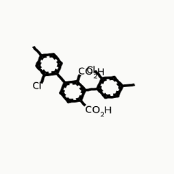 Cc1ccc(-c2ccc(C(=O)O)c(-c3ccc(C)cc3Cl)c2C(=O)O)c(Cl)c1